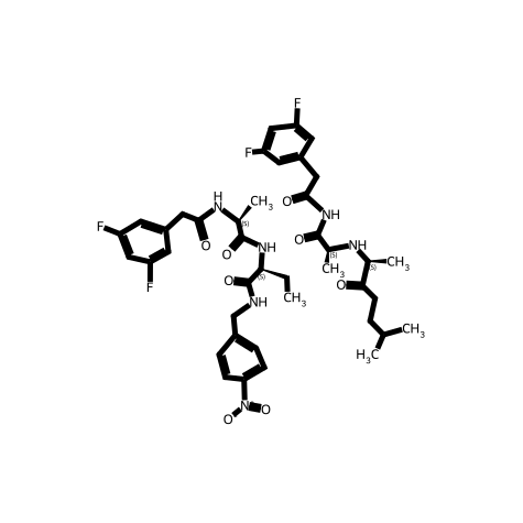 CC(C)CCC(=O)[C@H](C)N[C@@H](C)C(=O)NC(=O)Cc1cc(F)cc(F)c1.CC[C@H](NC(=O)[C@H](C)NC(=O)Cc1cc(F)cc(F)c1)C(=O)NCc1ccc([N+](=O)[O-])cc1